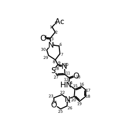 CC(=O)CCC(=O)N1CCC(c2nc(C(=O)Nc3ccccc3N3CCOCC3)cs2)CC1